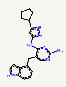 Nc1ncc(Cc2cccc3[nH]ccc23)c(Nc2cc(C3CCCC3)[nH]n2)n1